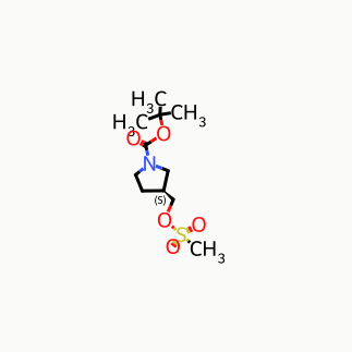 CC(C)(C)OC(=O)N1CC[C@H](COS(C)(=O)=O)C1